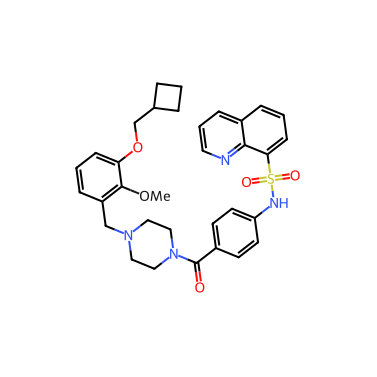 COc1c(CN2CCN(C(=O)c3ccc(NS(=O)(=O)c4cccc5cccnc45)cc3)CC2)cccc1OCC1CCC1